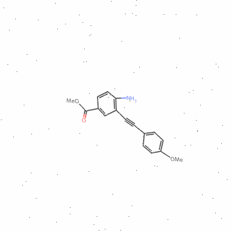 COC(=O)c1ccc(N)c(C#Cc2ccc(OC)cc2)c1